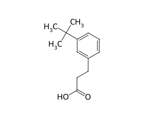 CC(C)(C)c1cccc(CCC(=O)O)c1